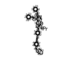 CC(C)N1C(=O)N(Cc2ncnc(OCc3ccccc3)c2OCc2ccccc2)CC1c1ccc(C#Cc2ccc(CN3CCOCC3)cc2)cc1